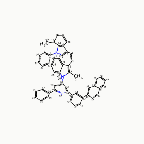 Cc1c(/C=C\c2cn(-c3ccccc3)c3c2C=CCC3C)c2ccccc2n1-c1cc(-c2ccccc2)nc(-c2cccc(-c3ccc4ccccc4c3)c2)c1